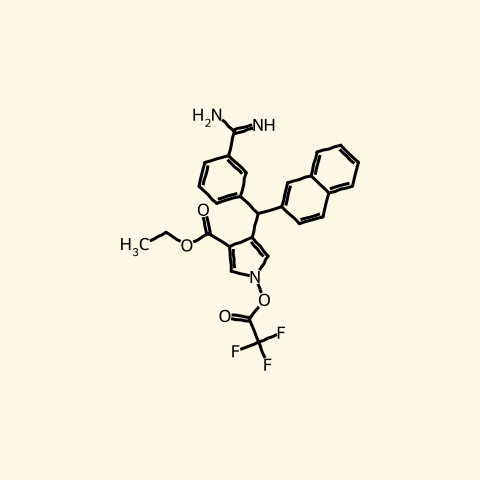 CCOC(=O)c1cn(OC(=O)C(F)(F)F)cc1C(c1cccc(C(=N)N)c1)c1ccc2ccccc2c1